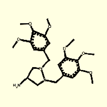 COc1cc(CN2CC(N)CN2Cc2cc(OC)c(OC)c(OC)c2)cc(OC)c1OC